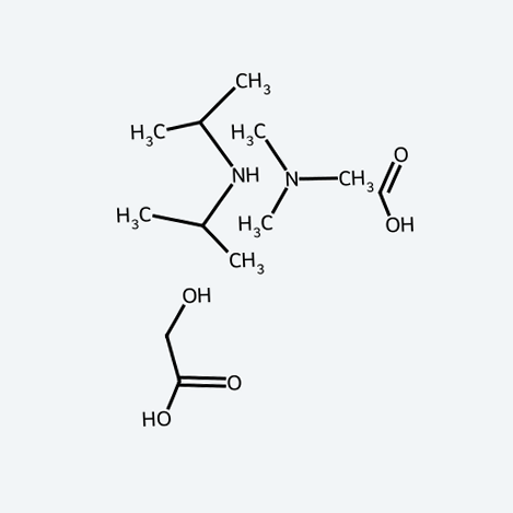 CC(C)NC(C)C.CN(C)C.O=C(O)CO.O=CO